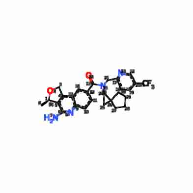 C[C@H]1OCc2c1c(N)nc1ccc(C(=O)N(Cc3ccc(C(F)(F)F)cn3)[C@@H]3CC34CCCC4)cc21